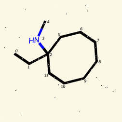 CCC1(NC)CCCCCCC1